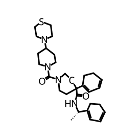 C[C@H](NC(=O)C1(C2=CC=CCC2)CCN(C(=O)N2CCC(N3CCSCC3)CC2)CC1)C1=CC=CCC1